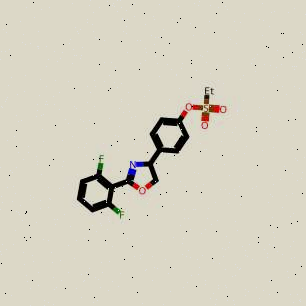 CCS(=O)(=O)Oc1ccc(C2COC(c3c(F)cccc3F)=N2)cc1